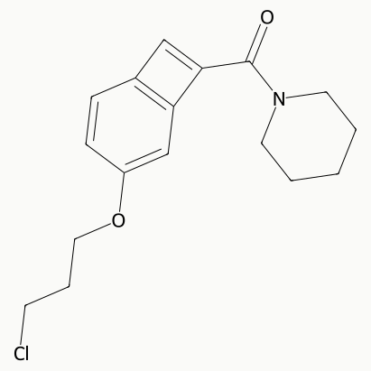 O=C(C1=Cc2ccc(OCCCCl)cc21)N1CCCCC1